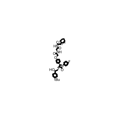 CC(C)(C)c1ccc(C(O)CS[C@H]2C(=O)N(c3ccc(F)cc3)[C@@H]2c2ccc(OCC(=O)NCC(=O)N[C@H](CC3CCCCC3)C(=O)O)cc2)cc1